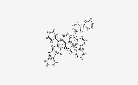 c1ccc(-c2cccc(N(c3ccccc3)c3ccc(N(c4ccccc4)c4ccc5c(c4)oc4ccccc45)c4oc5cc6ccccc6cc5c34)c2)cc1